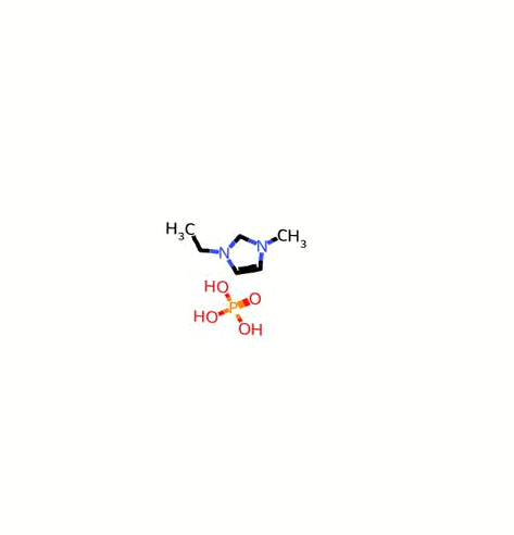 CCN1C=CN(C)C1.O=P(O)(O)O